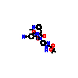 CC(=O)N(C)c1cccc(CC(NC(=O)C2CCC(C#N)CC2)C(=O)Nc2ccc3[nH]c(C(=O)OC(C)(C)C)nc3c2)c1